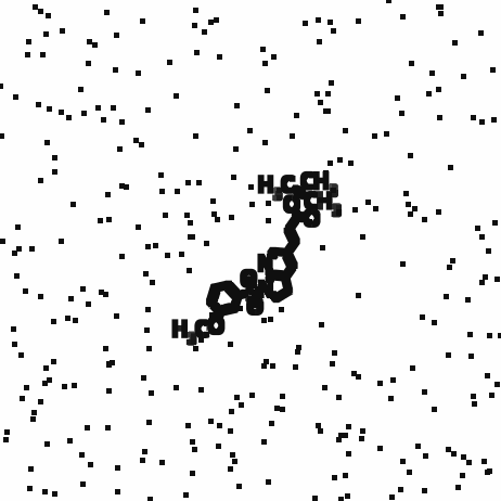 COc1cccc(S(=O)(=O)N2CCc3cc(/C=C/C(=O)OC(C)(C)C)cnc32)c1